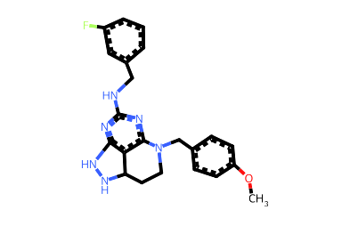 COc1ccc(CN2CCC3NNc4nc(NCc5cccc(F)c5)nc2c43)cc1